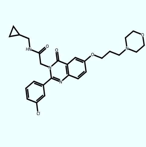 O=C(Cn1c(-c2cccc(Cl)c2)nc2ccc(OCCCN3CCOCC3)cc2c1=O)NCC1CC1